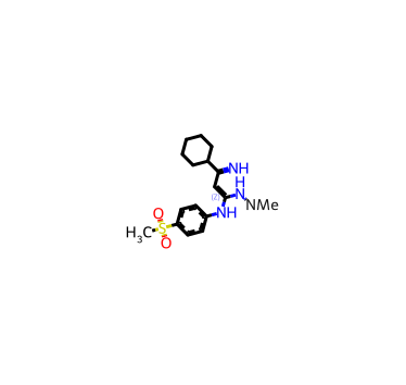 CNN/C(=C\C(=N)C1CCCCC1)Nc1ccc(S(C)(=O)=O)cc1